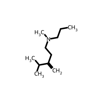 C=C(CCN(C)CCC)C(C)C